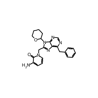 Nc1cccn(Cc2nc3c(Cc4ccccc4)ncnc3n2C2CCCCO2)c1=O